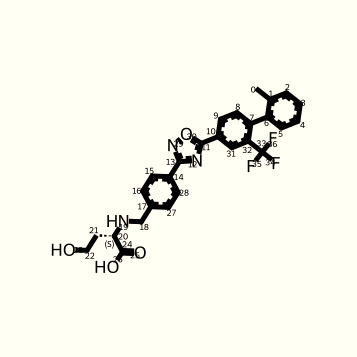 Cc1ccccc1-c1ccc(-c2nc(-c3ccc(CN[C@@H](CCO)C(=O)O)cc3)no2)cc1C(F)(F)F